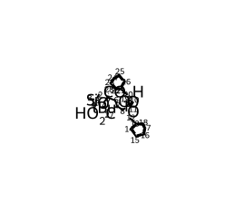 CC(C)(C)[Si](C)(C)O[C@@H](CC(CP(=O)(OCc1ccccc1)OCc1ccccc1)C(=O)O)C(=O)O